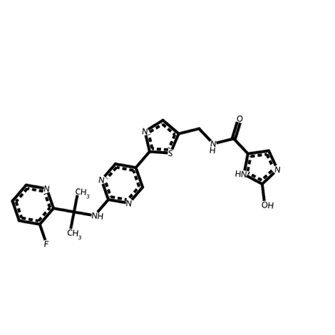 CC(C)(Nc1ncc(-c2ncc(CNC(=O)c3cnc(O)[nH]3)s2)cn1)c1ncccc1F